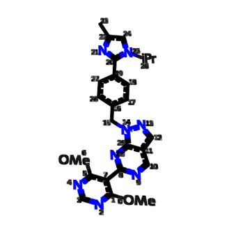 COc1ncnc(OC)c1-c1ncc2cnn(Cc3ccc(-c4nc(C)cn4C(C)C)cc3)c2n1